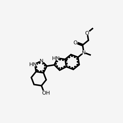 COCC(=O)N(C)c1ccc2cc(-c3n[nH]c4c3CC(O)CC4)[nH]c2c1